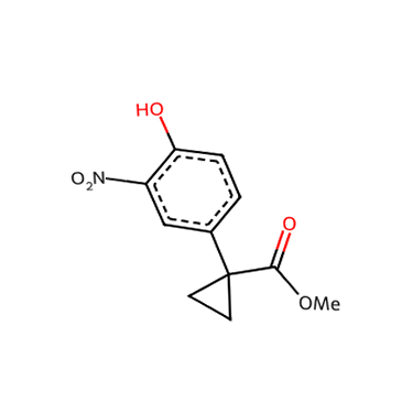 COC(=O)C1(c2ccc(O)c([N+](=O)[O-])c2)CC1